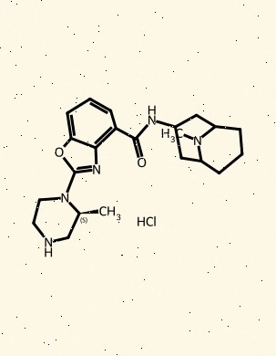 C[C@H]1CNCCN1c1nc2c(C(=O)NC3CC4CCCC(C3)N4C)cccc2o1.Cl